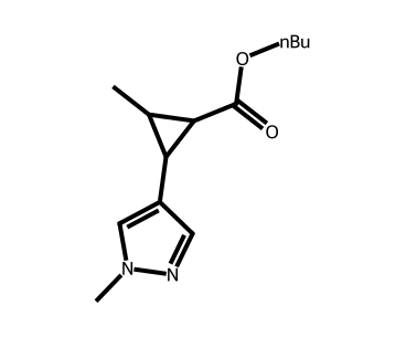 CCCCOC(=O)C1C(C)C1c1cnn(C)c1